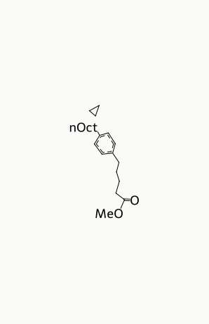 C1CC1.CCCCCCCCc1ccc(CCCCC(=O)OC)cc1